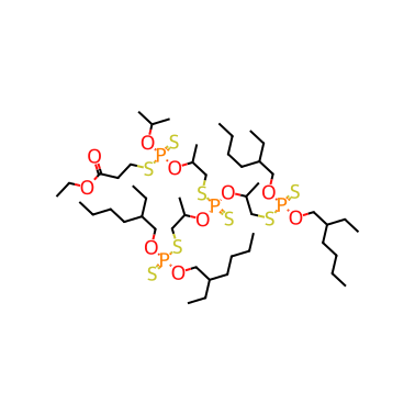 CCCCC(CC)COP(=S)(OCC(CC)CCCC)SCC(C)OP(=S)(OC(C)CSP(=S)(OCC(CC)CCCC)OCC(CC)CCCC)SCC(C)OP(=S)(OC(C)C)SCCC(=O)OCC